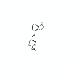 Nc1ncc(C=Cc2cccc3[nH]ccc23)cn1